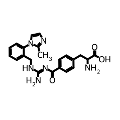 Cc1nccn1-c1ccccc1CNC(N)=NC(=O)c1ccc(CC(N)C(=O)O)cc1